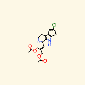 CC(=O)OCC(=CC1=NCCc2c1[nH]c1ccc(Cl)cc21)COC(C)=O